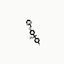 CC(C)C(C)(c1ccc(I)cc1)c1ccc(OCc2ncccn2)cc1